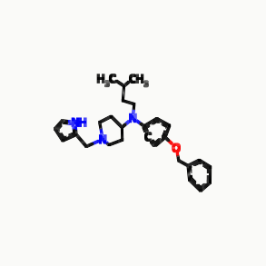 CC(C)CCN(c1ccc(OCc2ccccc2)cc1)C1CCN(Cc2ccc[nH]2)CC1